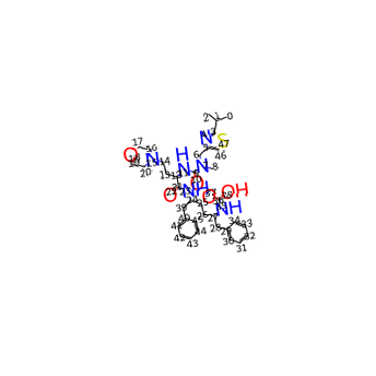 CC(C)c1nc(CN(C)C(=O)NC(CCN2CCOCC2)C(=O)NC(CCC(Cc2ccccc2)NC(=O)O)Cc2ccccc2)cs1